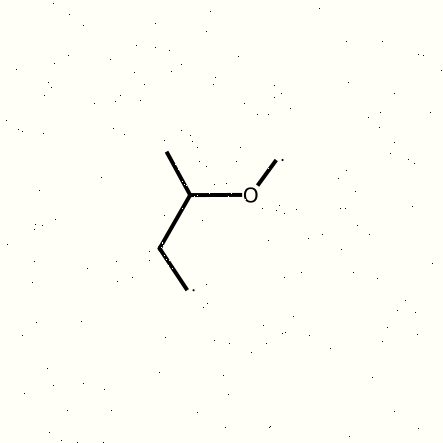 [CH2]CC(C)O[CH2]